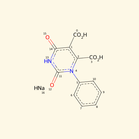 O=C(O)c1c(C(=O)O)n(-c2ccccc2)c(=O)[nH]c1=O.[NaH]